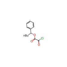 CCCCC(OC(=O)C(=O)Cl)c1ccccc1